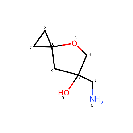 NCC1(O)COC2(CC2)C1